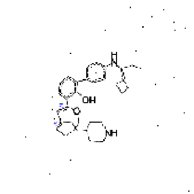 CCC(Nc1ccc(-c2cccc(/C3=C/C(CCC4CCNCC4)=C/CCCO3)c2O)cc1)=C1CCC1